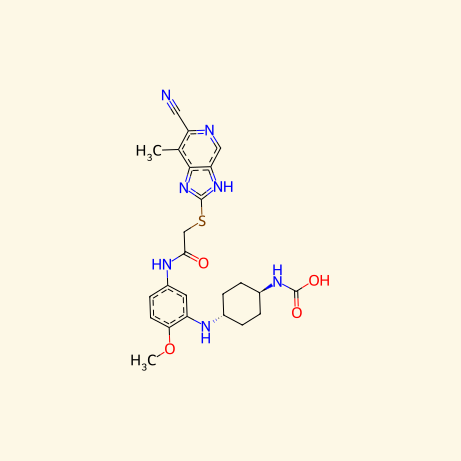 COc1ccc(NC(=O)CSc2nc3c(C)c(C#N)ncc3[nH]2)cc1N[C@H]1CC[C@H](NC(=O)O)CC1